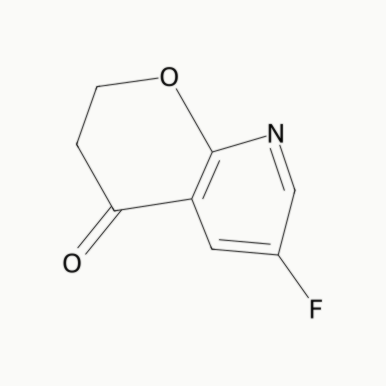 O=C1CCOc2ncc(F)cc21